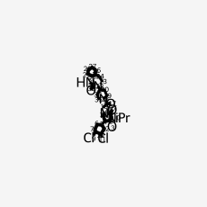 CC(C)n1c(=O)c(-c2ccc(Cl)c(Cl)c2)cn(CC(=O)N2CCC(N3CCc4ccccc4NC3=O)CC2)c1=O